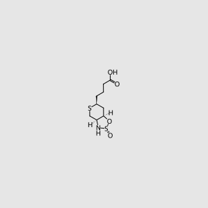 O=C(O)CCC[C@H]1C[C@H]2OS(=O)N[C@H]2CS1